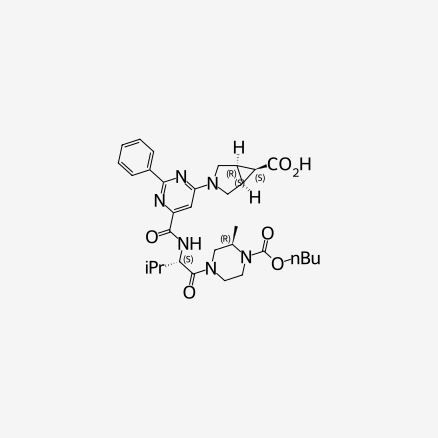 CCCCOC(=O)N1CCN(C(=O)[C@@H](NC(=O)c2cc(N3C[C@@H]4[C@H](C3)[C@@H]4C(=O)O)nc(-c3ccccc3)n2)C(C)C)C[C@H]1C